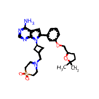 CC1(C)CCC(COc2cccc(-c3cc4c(N)ncnc4n3C3CC(CN4CCS(=O)(=O)CC4)C3)c2)O1